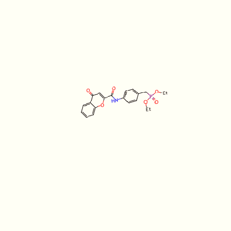 CCOP(=O)(Cc1ccc(NC(=O)c2cc(=O)c3ccccc3o2)cc1)OCC